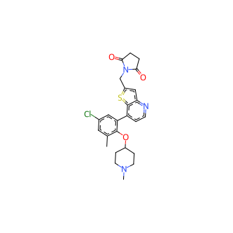 Cc1cc(Cl)cc(-c2ccnc3cc(CN4C(=O)CCC4=O)sc23)c1OC1CCN(C)CC1